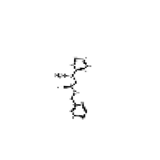 NC(CC(=O)OCc1ccccc1)c1ccccc1